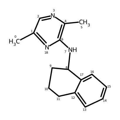 Cc1cnc(C)c(NC2CCCc3ccccc32)n1